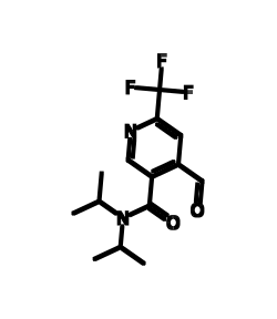 CC(C)N(C(=O)c1cnc(C(F)(F)F)cc1C=O)C(C)C